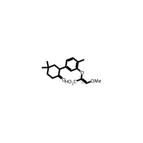 CO/C=C(\Oc1cc(C2CC(C)(C)CCC2=O)ccc1C)C(=O)O